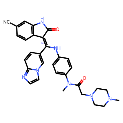 CN1CCN(CC(=O)N(C)c2ccc(N/C(=C3\C(=O)Nc4cc(C#N)ccc43)c3ccc4nccn4c3)cc2)CC1